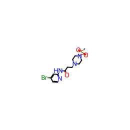 CS(=O)(=O)N1CCN(CCC(=O)Nc2cc(Br)ccn2)CC1